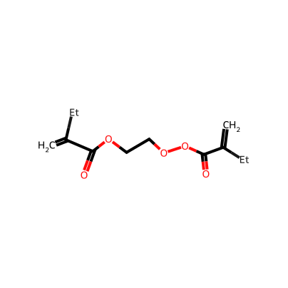 C=C(CC)C(=O)OCCOOC(=O)C(=C)CC